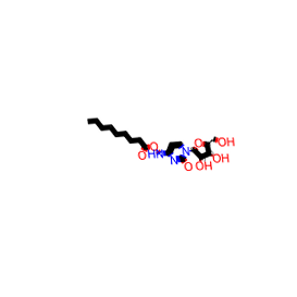 CCCCCCCCC(=O)ONc1ccn([C@@H]2O[C@H](CO)[C@@H](O)[C@H]2O)c(=O)n1